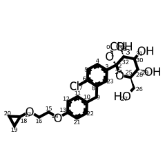 CO[C@@]1(c2ccc(Cl)c(Cc3ccc(OCCOC4CC4)cc3)c2)O[C@H](CO)[C@@H](O)C(O)[C@H]1O